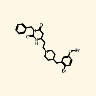 CC(C)Oc1ccc(Br)c(CC2CCN(CCC3CC(=O)N(Cc4ccccc4)C(=O)N3)CC2)c1